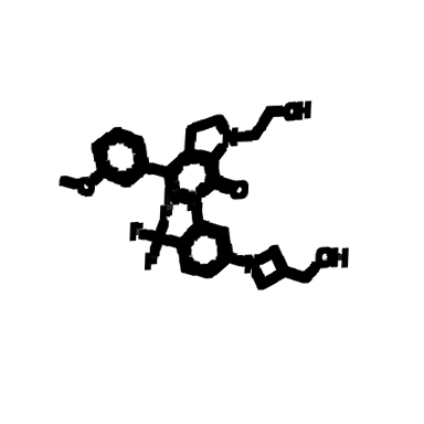 COc1cccc(-c2nn(-c3cc(N4CC(CO)C4)ccc3C(F)(F)F)c(=O)c3c2CCN3CCO)c1